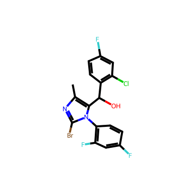 Cc1nc(Br)n(-c2ccc(F)cc2F)c1C(O)c1ccc(F)cc1Cl